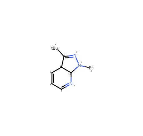 CCN1N=C(C(C)(C)C)C2C=CC=NC21